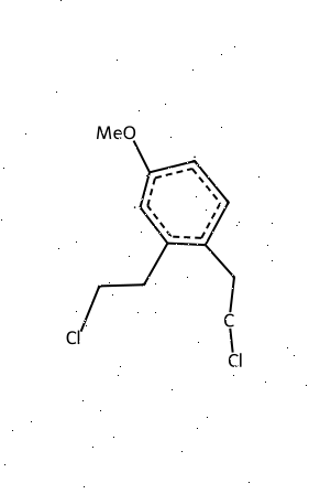 COc1[c]cc(CCCl)c(CCCl)[c]1